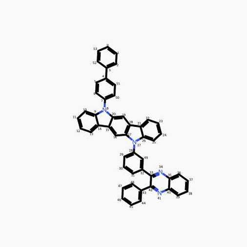 c1ccc(-c2ccc(-n3c4ccccc4c4cc5c(cc43)c3ccccc3n5-c3cccc(-c4nc5ccccc5nc4-c4ccccc4)c3)cc2)cc1